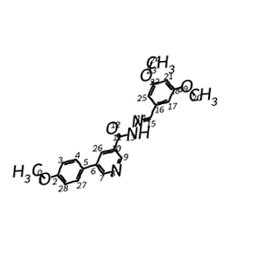 COc1ccc(-c2cncc(C(=O)N/N=C/c3cc(OC)cc(OC)c3)c2)cc1